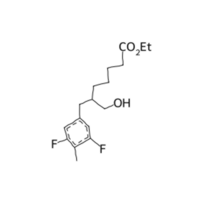 CCOC(=O)CCCCC(CO)Cc1cc(F)c(C)c(F)c1